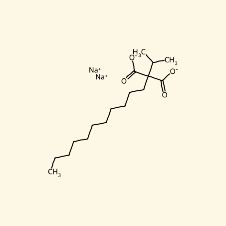 CCCCCCCCCCCC(C(=O)[O-])(C(=O)[O-])C(C)C.[Na+].[Na+]